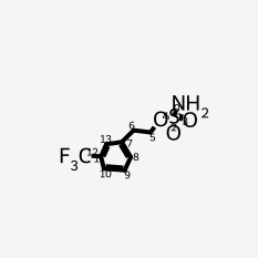 NS(=O)(=O)OCCc1cccc(C(F)(F)F)c1